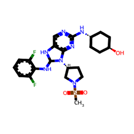 CS(=O)(=O)N1CC[C@@H](N2c3nc(N[C@H]4CC[C@H](O)CC4)ncc3NC2Nc2c(F)cccc2F)C1